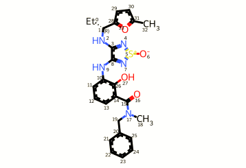 CC[C@@H](Nc1n[s+]([O-])nc1Nc1cccc(C(=O)N(C)Cc2ccccc2)c1O)c1ccc(C)o1